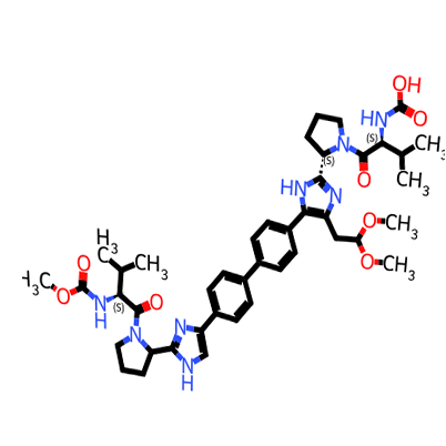 COC(=O)N[C@H](C(=O)N1CCCC1c1nc(-c2ccc(-c3ccc(-c4[nH]c([C@@H]5CCCN5C(=O)[C@@H](NC(=O)O)C(C)C)nc4CC(OC)OC)cc3)cc2)c[nH]1)C(C)C